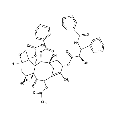 CC(=O)OC1C(=O)[C@@]2(C)[C@H]([C@H](OC(=O)c3ccccc3)[C@@]3(O)CC1=C(C)[C@@H](OC(=O)[C@H](O)C(NC(=O)c1ccccc1)c1ccccc1)C3)[C@]1(OC(C)=O)CO[C@@H]1C[C@@H]2O